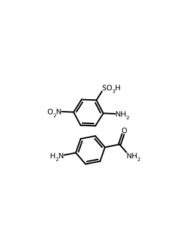 NC(=O)c1ccc(N)cc1.Nc1ccc([N+](=O)[O-])cc1S(=O)(=O)O